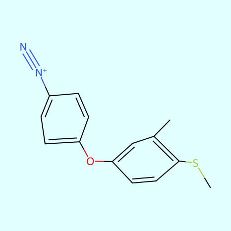 CSc1ccc(Oc2ccc([N+]#N)cc2)cc1C